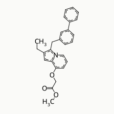 CCc1cc2c(OCC(=O)OC)cccn2c1Cc1cccc(-c2ccccc2)c1